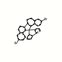 Brc1ccc2c3c(ccc2c1)-c1ccc2cc(Br)ccc2c1C31c2ccccc2-c2ccccc21